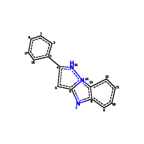 c1ccc(-c2cc3nc4ccccc4n3[nH]2)cc1